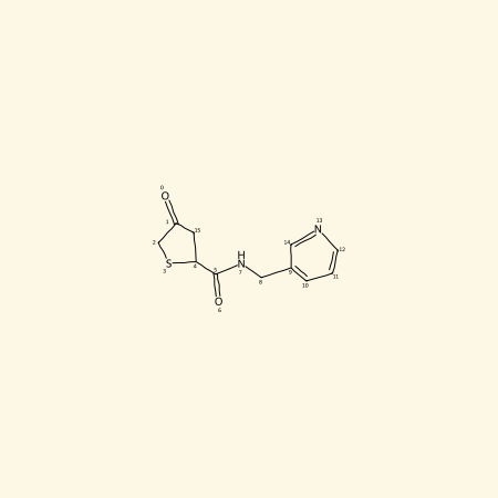 O=C1CSC(C(=O)NCc2cccnc2)C1